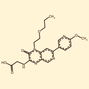 CCCOCCn1c(=O)c(NCC(=O)O)nc2cnc(-c3ccc(OC)nc3)cc21